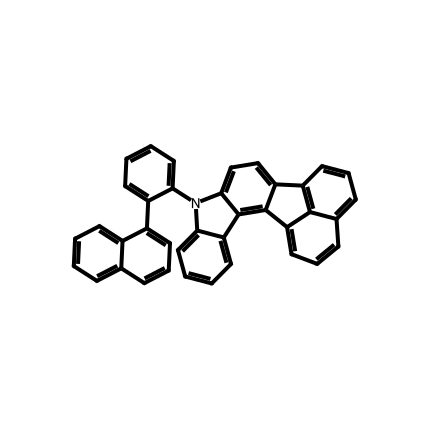 c1ccc(-n2c3ccccc3c3c4c(ccc32)-c2cccc3cccc-4c23)c(-c2cccc3ccccc23)c1